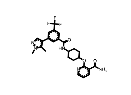 Cc1c(-c2cc(C(=O)NC3CCC(Oc4ncccc4C(N)=O)CC3)cc(C(F)(F)F)c2)cnn1C